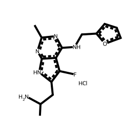 Cc1nc(NCc2ccco2)c2c(F)c(CC(C)N)[nH]c2n1.Cl